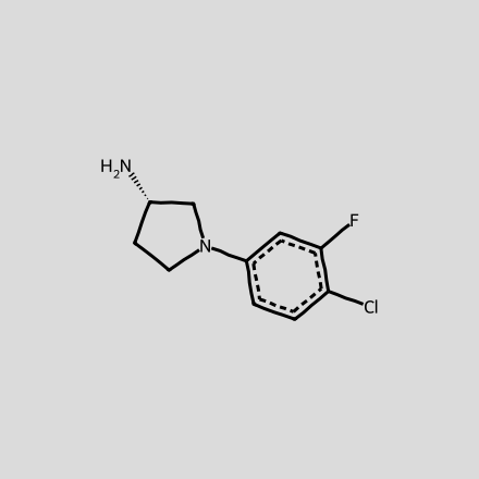 N[C@H]1CCN(c2ccc(Cl)c(F)c2)C1